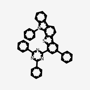 c1ccc(-c2cc(-c3nc(-c4ccccc4)nc(-c4ccccc4)n3)c3sc4c(ccc5c6ccccc6n(-c6ccccc6)c54)c3c2)cc1